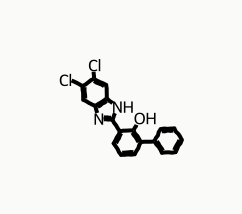 Oc1c(-c2ccccc2)cccc1-c1nc2cc(Cl)c(Cl)cc2[nH]1